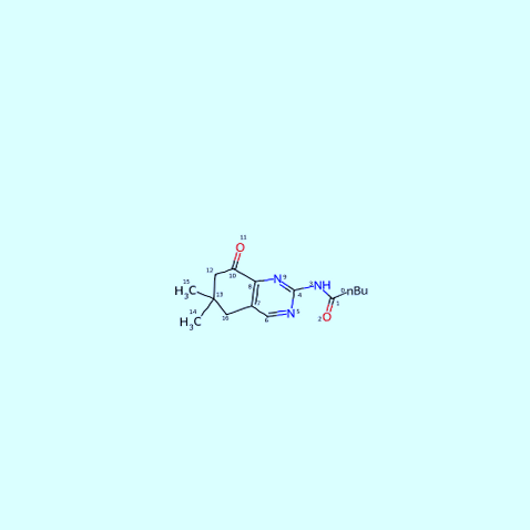 CCCCC(=O)Nc1ncc2c(n1)C(=O)CC(C)(C)C2